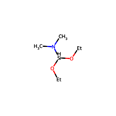 CCO[SiH](OCC)N(C)C